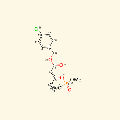 COP(=O)(OC)OC(C)=CC(=O)OCc1ccc(Cl)cc1